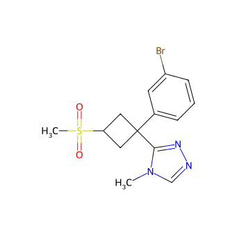 Cn1cnnc1C1(c2cccc(Br)c2)CC(S(C)(=O)=O)C1